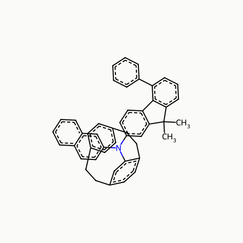 CC1(C)c2cc(N(c3ccc4ccccc4c3)c3cc4ccc3CCc3ccc(cc3)CC4)ccc2-c2c(-c3ccccc3)cccc21